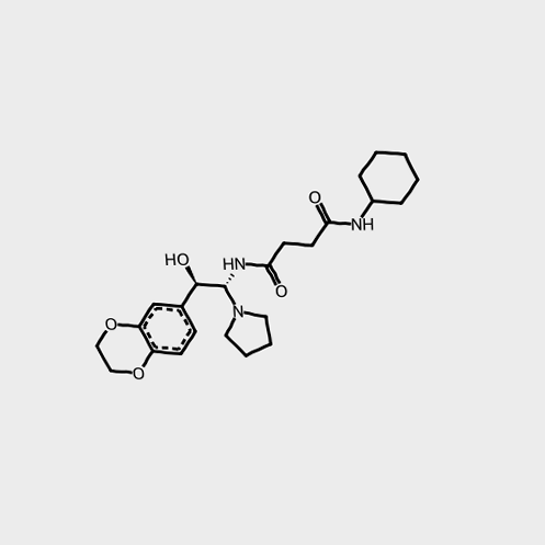 O=C(CCC(=O)N[C@@H]([C@H](O)c1ccc2c(c1)OCCO2)N1CCCC1)NC1CCCCC1